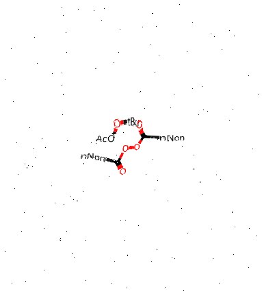 CC(=O)OOC(C)(C)C.CCCCCCCCCC(=O)OOC(=O)CCCCCCCCC